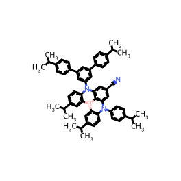 CC(C)c1ccc(-c2cc(-c3ccc(C(C)C)cc3)cc(N3c4ccc(C(C)C)cc4B4c5cc(C(C)C)ccc5N(c5ccc(C(C)C)cc5)c5cc(C#N)cc3c54)c2)cc1